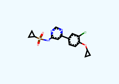 O=S(=O)(Nc1cc(-c2ccc(OC3CC3)c(Cl)c2)ncn1)C1CC1